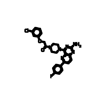 Nc1nc(N2CCN(C(=O)COc3cccc(Cl)c3)CC2)c2nc(-c3ccc(F)cc3)ccc2n1